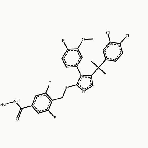 COc1cc(-n2c(C(C)(C)c3ccc(Cl)c(Cl)c3)cnc2SCc2c(F)cc(C(=O)NO)cc2F)ccc1F